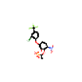 C[C](Oc1cc(Oc2ccc(C(F)(F)F)cc2Cl)ccc1[N+](=O)[O-])P(=O)(O)O